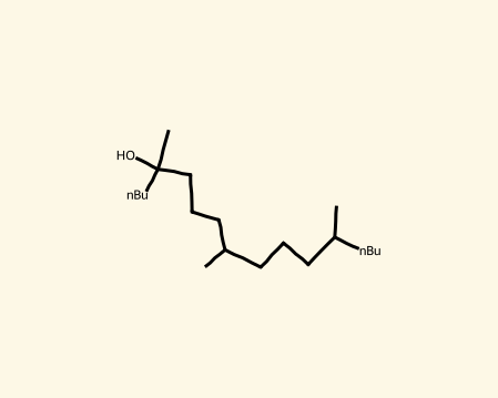 CCCCC(C)CCCC(C)CCCC(C)(O)CCCC